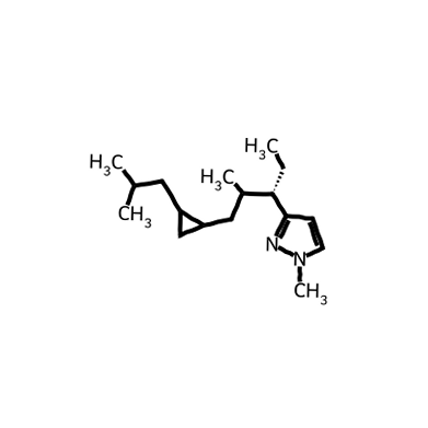 CC[C@H](c1ccn(C)n1)C(C)CC1CC1CC(C)C